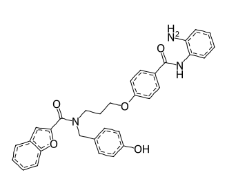 Nc1ccccc1NC(=O)c1ccc(OCCCN(Cc2ccc(O)cc2)C(=O)c2cc3ccccc3o2)cc1